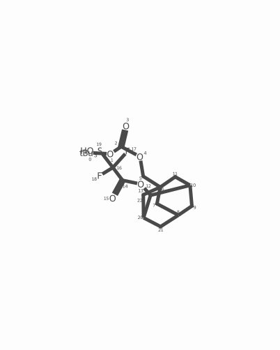 CC(C)(C)OC(=O)OCC12CC3CC(C1)C(OC(=O)C(F)(F)S(=O)(=O)O)C(C3)C2